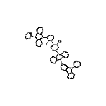 SC1CC(c2c3ccccc3c(-c3ccc4c5ccc#cc5n(-c5ccccc5)c4c3)c3ccccc23)=CC=C1c1cccc(-c2c3ccccc3c(-c3ccccc3)c3ccccc23)c1I